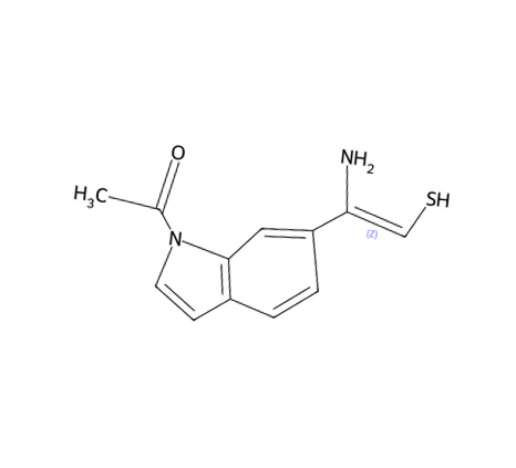 CC(=O)n1ccc2ccc(/C(N)=C/S)cc21